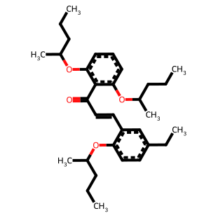 CCCC(C)Oc1ccc(CC)cc1C=CC(=O)c1c(OC(C)CCC)cccc1OC(C)CCC